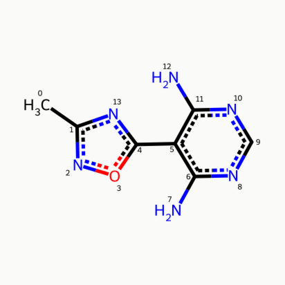 Cc1noc(-c2c(N)ncnc2N)n1